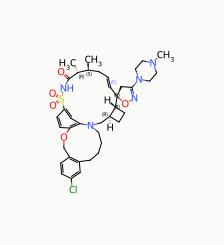 C[C@H]1C/C=C/[C@@]2(CC(N3CCN(C)CC3)=NO2)[C@@H]2CC[C@H]2CN2CCCCc3cc(Cl)ccc3COc3ccc(cc32)S(=O)(=O)NC(=O)[C@@H]1C